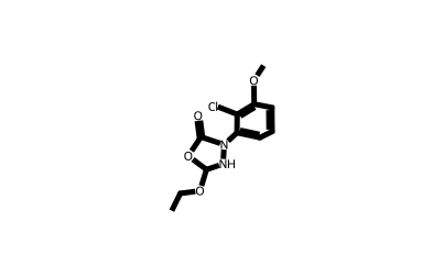 CCOC1NN(c2cccc(OC)c2Cl)C(=O)O1